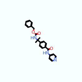 CC(C)(NC(=O)OCc1ccccc1)c1ccc(C(=O)Nc2ccncc2)cc1